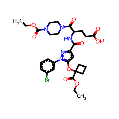 CCOC(=O)N1CCN(C(=O)C(CCC(=O)O)NC(=O)c2cc(OC3(C(=O)OCC)CCC3)n(-c3cccc(Br)c3)n2)CC1